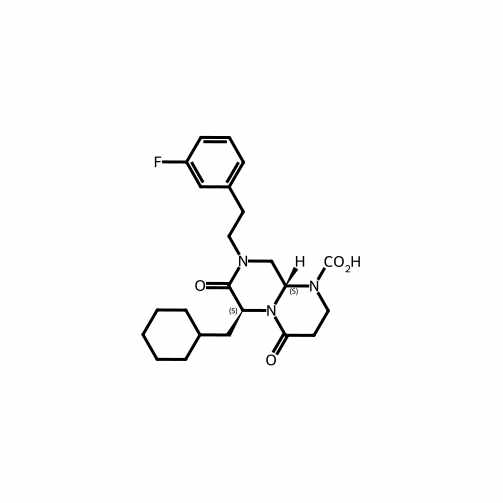 O=C1[C@H](CC2CCCCC2)N2C(=O)CCN(C(=O)O)[C@H]2CN1CCc1cccc(F)c1